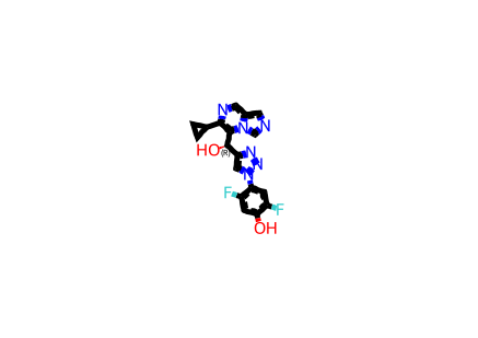 Oc1cc(F)c(-n2cc([C@H](O)c3c(C4CC4)ncc4cncn34)nn2)cc1F